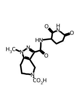 Cn1nc(C(=O)NC2CCC(=O)NC2=O)c2c1CCN(C(=O)O)C2